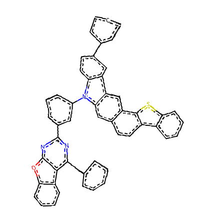 c1ccc(-c2ccc3c(c2)c2cc4c(ccc5c6ccccc6sc45)cc2n3-c2cccc(-c3nc(-c4ccccc4)c4c(n3)oc3ccccc34)c2)cc1